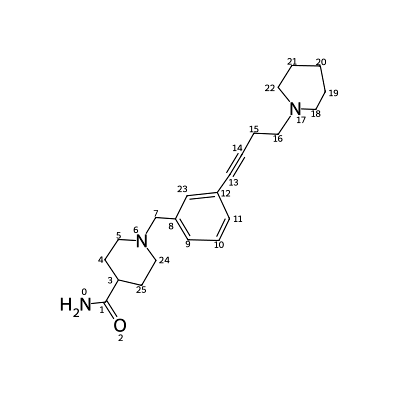 NC(=O)C1CCN(Cc2cccc(C#CCCN3CCCCC3)c2)CC1